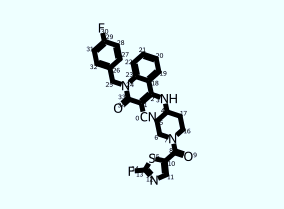 N#Cc1c(NC2CCN(C(=O)c3cnc(F)s3)CC2)c2ccccc2n(Cc2ccc(F)cc2)c1=O